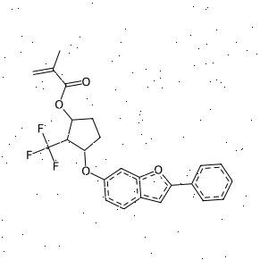 C=C(C)C(=O)OC1CCC(Oc2ccc3cc(-c4ccccc4)oc3c2)C1C(F)(F)F